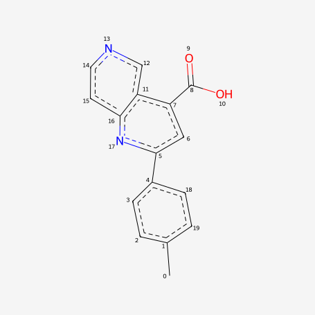 Cc1ccc(-c2cc(C(=O)O)c3cnccc3n2)cc1